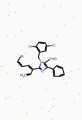 C=C/C(=C\C=C/C(C)C)c1nc(-c2ccccc2)c(C=O)n1Cc1cc(Cl)ccc1Cl